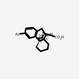 CC(=O)c1ccc2c(c1)[C@@]13CCCC[C@H]1[C@@H](C2)N(C(=O)O)CC3